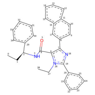 CC[C@H](NC(=O)c1c(-c2ccc3ccccc3c2)nc(-c2ccccc2)n1CC)c1ccccc1